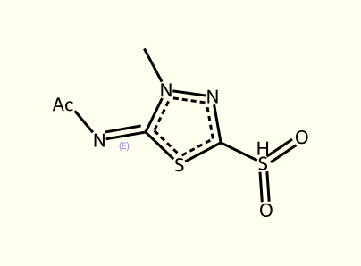 CC(=O)/N=c1/sc([SH](=O)=O)nn1C